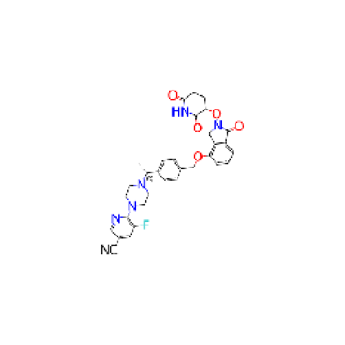 C[C@H](c1ccc(COc2cccc3c2CN(OC2CCC(=O)NC2=O)C3=O)cc1)N1CCN(c2ncc(C#N)cc2F)CC1